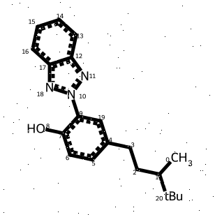 CC(CCc1ccc(O)c(-n2nc3ccccc3n2)c1)C(C)(C)C